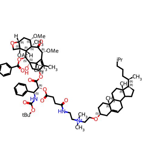 CO[C@H]1C(=O)[C@]2(C)[C@@H](OC)C[C@H]3OC[C@@]3(OC(C)=O)[C@H]2[C@H](OC(=O)c2ccccc2)[C@]2(O)C[C@H](OC(=O)[C@H](OC(=O)CCC(=O)NCC[N+](C)(C)CCO[C@H]3CC[C@@]4(C)C(=CCC5C4CC[C@@]4(C)C5CC[C@@H]4[C@H](C)CCCC(C)C)C3)[C@@H](NC(=O)OC(C)(C)C)c3ccccc3)C(C)=C1C2(C)C